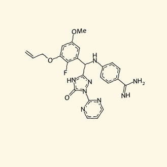 C=CCOc1cc(OC)cc(C(Nc2ccc(C(=N)N)cc2)c2nn(-c3ncccn3)c(=O)[nH]2)c1F